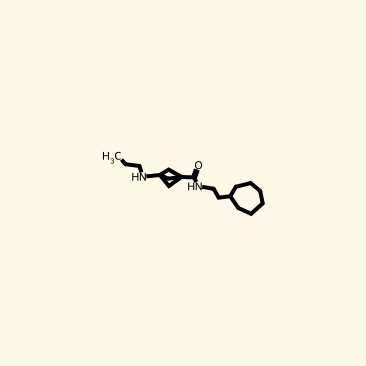 CCCNC12CC(C(=O)NCCC3CCCCCC3)(C1)C2